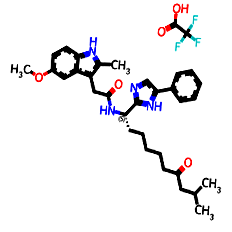 COc1ccc2[nH]c(C)c(CC(=O)N[C@@H](CCCCCC(=O)CC(C)C)c3ncc(-c4ccccc4)[nH]3)c2c1.O=C(O)C(F)(F)F